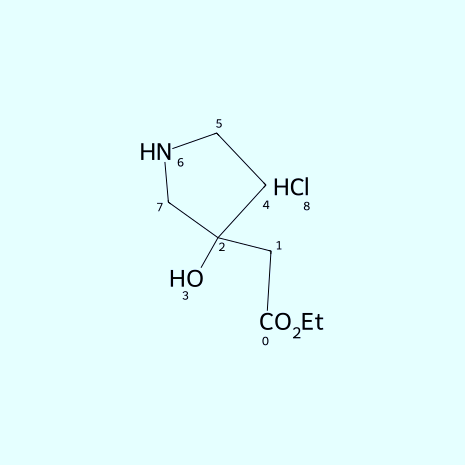 CCOC(=O)CC1(O)CCNC1.Cl